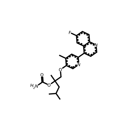 Cc1cc(-c2ccnc3ccc(F)cc23)ncc1OCC(C)(CC(C)C)OC(N)=O